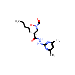 CCCCC[C@H](CN(O)C=O)C(=O)NNc1nc(C)cc(C)n1